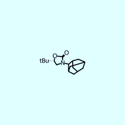 CC(C)(C)[C@H]1CN(C2C3CC4CC(C3)CC2C4)C(=O)O1